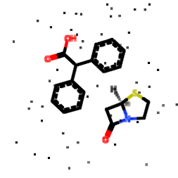 O=C(O)C(c1ccccc1)c1ccccc1.O=C1C[C@H]2SCCN12